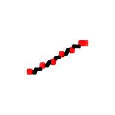 O=CCCOCCOCCOCCOCCO